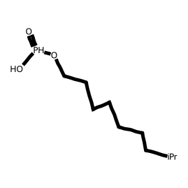 CC(C)CCCCCCCO[PH](=O)O